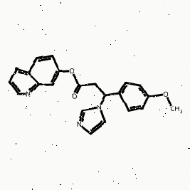 COc1ccc(C(CC(=O)Oc2ccc3cccnc3c2)n2ccnc2)cc1